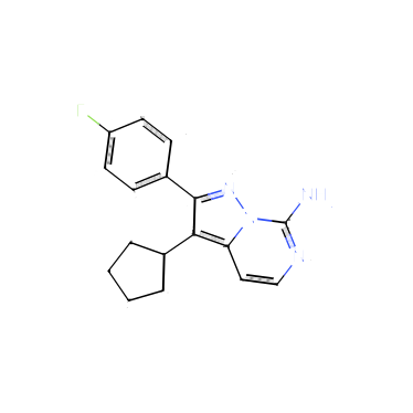 Nc1nccc2c(C3CCCC3)c(-c3ccc(F)cc3)nn12